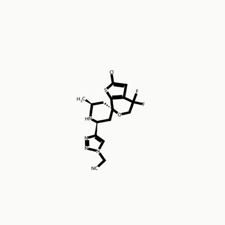 C[C@H]1C[C@@]2(C[C@@H](c3cn(CC#N)nn3)N1)OCC(F)(F)c1cc(Cl)sc12